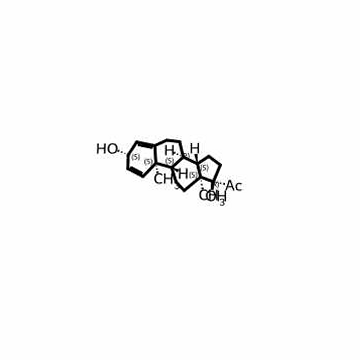 CC(=O)[C@@]1(O)CC[C@H]2[C@@H]3CCC4=C[C@@H](O)C=C[C@]4(C)[C@H]3CC[C@@]21C